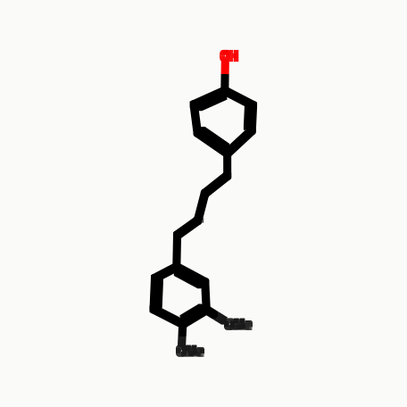 COc1ccc(C[CH]CCc2ccc(O)cc2)cc1OC